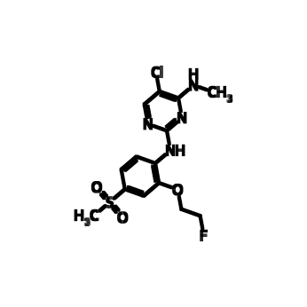 CNc1nc(Nc2ccc(S(C)(=O)=O)cc2OCCF)ncc1Cl